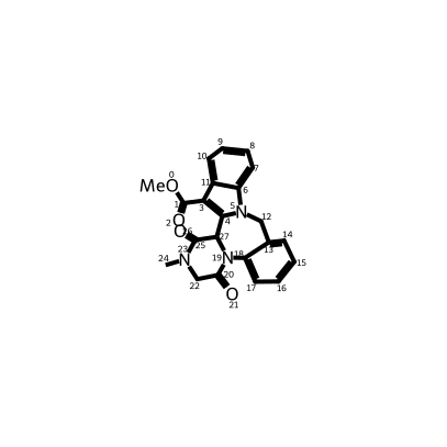 COC(=O)c1c2n(c3ccccc13)Cc1ccccc1N1C(=O)CN(C)C(=O)C21